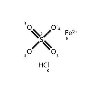 Cl.O=S(=O)([O-])[O-].[Fe+2]